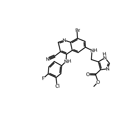 COC(=O)c1nc[nH]c1CNc1cc(Br)c2ncc(C#N)c(Nc3ccc(F)c(Cl)c3)c2c1